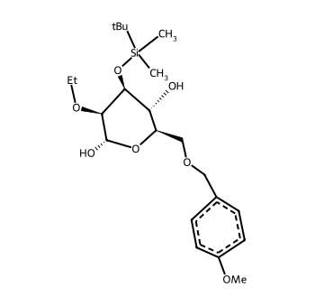 CCO[C@H]1[C@@H](O[Si](C)(C)C(C)(C)C)[C@H](O)[C@@H](COCc2ccc(OC)cc2)O[C@@H]1O